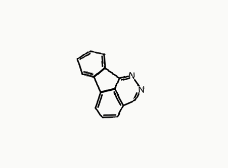 c1ccc2c(c1)-c1cccc3cnnc-2c13